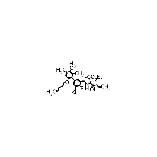 C=CCCCOc1cc(C)c(C)c(C)c1-c1cc(C2CC2)c(F)c([C@H](CC(=O)OCC)NC(=O)[C@H](O)CC=C)c1